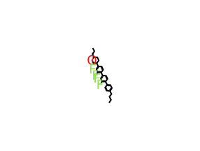 CCCCc1ccc(-c2ccc(-c3ccc(C4CCC(CCC)OC4)c(F)c3F)c(F)c2F)cc1